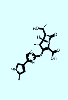 C[C@@H]1C=C(c2csc(SC3=C(C(=O)O)N4C(=O)[C@H]([C@@H](C)O)[C@H]4[C@H]3C)n2)CN1